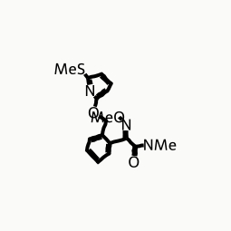 CNC(=O)/C(=N/OC)c1ccccc1COc1cccc(SC)n1